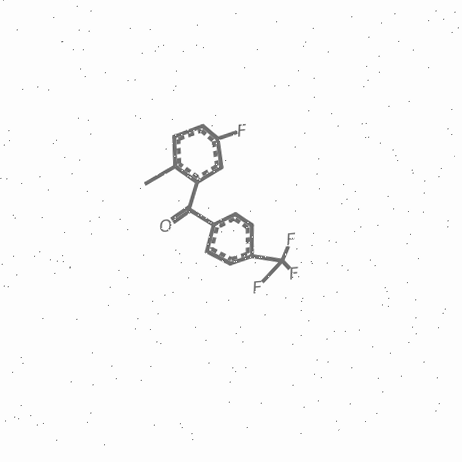 Cc1ccc(F)cc1C(=O)c1ccc(C(F)(F)F)cc1